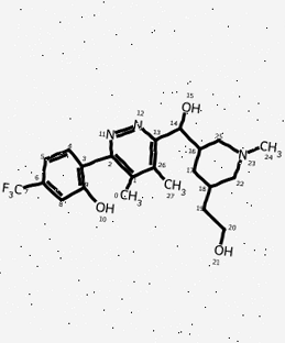 Cc1c(-c2ccc(C(F)(F)F)cc2O)nnc(C(O)C2CC(CCO)CN(C)C2)c1C